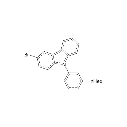 CCCCCCc1cccc(-n2c3ccccc3c3cc(Br)ccc32)c1